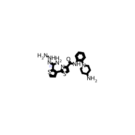 NN/N=C(\N)c1sccc1-c1nc(C(=O)Nc2ccccc2N2CCC(N)CC2)cs1